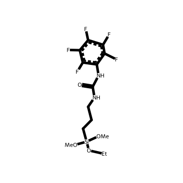 CCO[Si](CCCNC(=O)Nc1c(F)c(F)c(F)c(F)c1F)(OC)OC